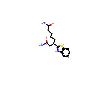 NC(=O)CCCCC(CC(N)=O)c1nc2ccccc2s1